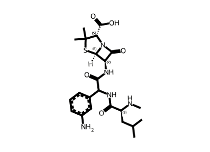 CN[C@@H](CC(C)C)C(=O)NC(C(=O)N[C@@H]1C(=O)N2[C@@H]1SC(C)(C)[C@@H]2C(=O)O)c1cccc(N)c1